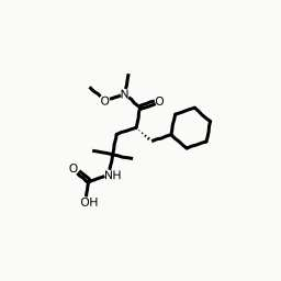 CON(C)C(=O)[C@H](CC1CCCCC1)CC(C)(C)NC(=O)O